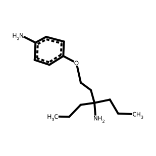 CCCC(N)(CCC)CCOc1ccc(N)cc1